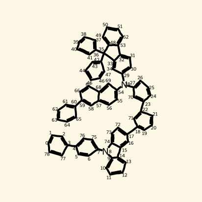 c1ccc(-c2ccc(-n3c4ccccc4c4cc(-c5cccc(-c6cccc(N(c7ccc8c(c7)C(c7ccccc7)(c7ccccc7)c7ccccc7-8)c7ccc8cc(-c9ccccc9)ccc8c7)c6)c5)ccc43)cc2)cc1